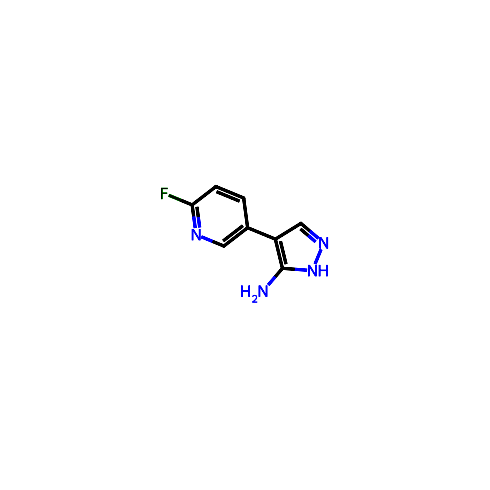 Nc1[nH]ncc1-c1ccc(F)nc1